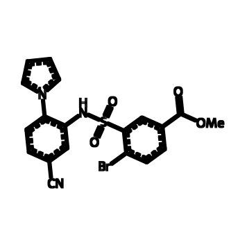 COC(=O)c1ccc(Br)c(S(=O)(=O)Nc2cc(C#N)ccc2-n2cccc2)c1